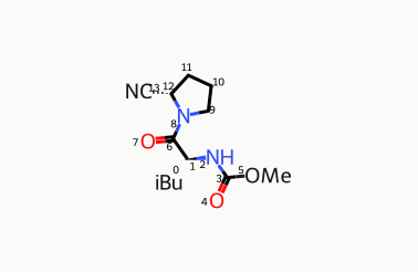 CC[C@H](C)[C@H](NC(=O)OC)C(=O)N1CCC[C@H]1C#N